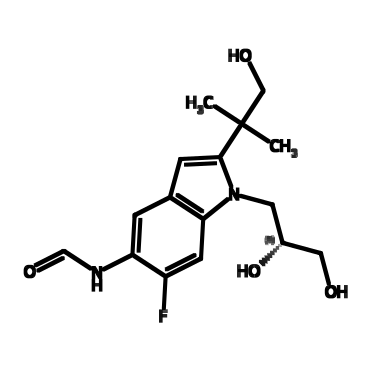 CC(C)(CO)c1cc2cc(NC=O)c(F)cc2n1C[C@@H](O)CO